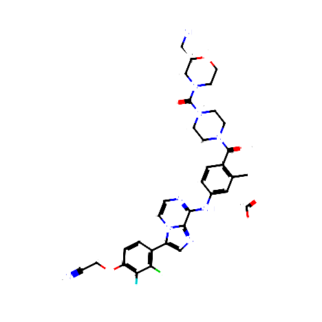 Cc1cc(Nc2nccn3c(-c4ccc(OCC#N)c(F)c4Cl)cnc23)ccc1C(=O)N1CCN(C(=O)N2CCO[C@H](CN)C2)CC1.O=CO